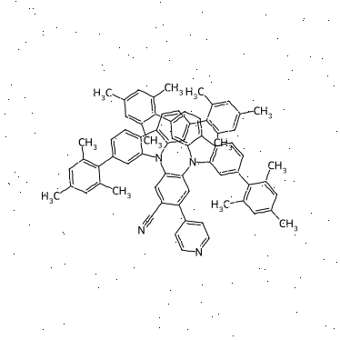 Cc1cc(C)c(-c2ccc3c4ccc(-c5c(C)cc(C)cc5C)cc4n(-c4cc(C#N)c(-c5ccncc5)cc4-n4c5cc(-c6c(C)cc(C)cc6C)ccc5c5ccc(-c6c(C)cc(C)cc6C)cc54)c3c2)c(C)c1